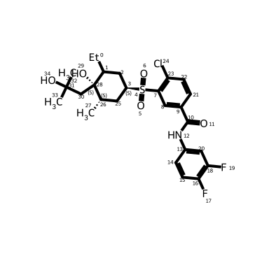 CCC1C[C@@H](S(=O)(=O)c2cc(C(=O)Nc3ccc(F)c(F)c3)ccc2Cl)C[C@H](C)[C@@]1(O)CC(C)(C)O